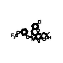 C[C@H](O)Cn1c(=O)c2c(nc(Oc3cccc(OC(F)(F)F)c3)n2Cc2ccc(Cl)cc2)n(C)c1=O